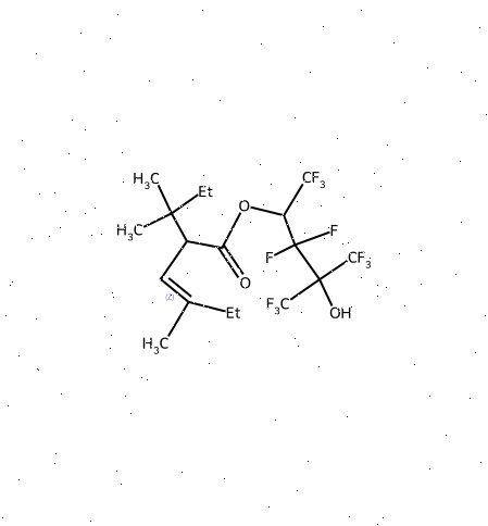 CC/C(C)=C\C(C(=O)OC(C(F)(F)F)C(F)(F)C(O)(C(F)(F)F)C(F)(F)F)C(C)(C)CC